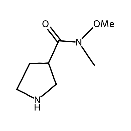 CON(C)C(=O)C1CCNC1